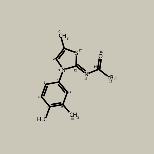 Cc1cn(-c2ccc(C)c(C)c2)c(=NC(=O)C(C)(C)C)s1